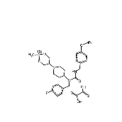 CC(C)Oc1ccc(CNC(=O)N(Cc2ccc(F)cc2)C2CCN(C3COC(C)(C)OC3)CC2)cc1.O=C(O)C(=O)O